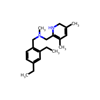 CCc1ccc(CN(C)CC2=C(C)C=C(C)CN2)c(CC)c1